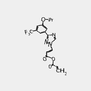 C=CC(=O)OC(=O)C=Cn1cnc(-c2cc(OC(C)C)cc(C(F)(F)F)c2)n1